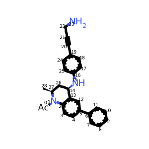 CC(=O)N1c2ccc(-c3ccccc3)cc2[C@H](Nc2ccc(C#CCN)cc2)C[C@@H]1C